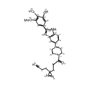 C#CCCC1(CCC(=O)N2CCN(c3ccc4[nH]c(-c5cc(O)c(O)c(OC)c5)nc4c3)CC2)N=N1